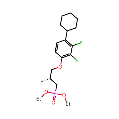 CCOP(=O)(C[C@H](C)COc1ccc(C2CCCCC2)c(F)c1F)OCC